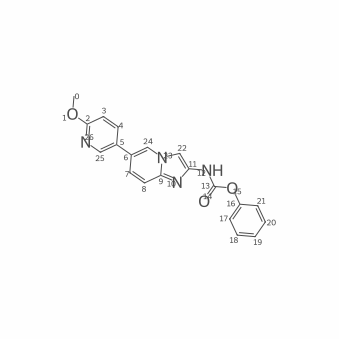 COc1ccc(-c2ccc3nc(NC(=O)Oc4ccccc4)cn3c2)cn1